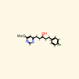 COc1cc(CCC(O)CCc2ccc(F)cc2)ncn1